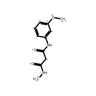 CNC(=O)CC(=O)Nc1cccc(OC)c1